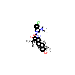 CC(C)C1=C2[C@H]3CC[C@@H]4[C@@]5(C)CC[C@H](O)C(C)(C)[C@@H]5CC[C@@]4(C)[C@]3(C)CCC2(NC(=O)N(CCN(C)C)Cc2ccc(Cl)cc2)CC1=O